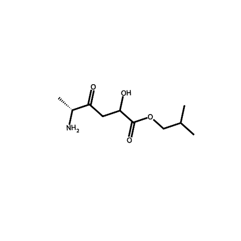 CC(C)COC(=O)C(O)CC(=O)[C@@H](C)N